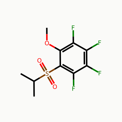 COc1c(F)c(F)c(F)c(F)c1S(=O)(=O)C(C)C